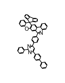 c1ccc(-c2ccc(-c3cc(-c4ccc(-c5nc6ccccc6c6cc7c(cc56)Oc5ccccc5C75c6ccccc6-c6ccccc65)cc4)nc(-c4ccccc4)n3)cc2)cc1